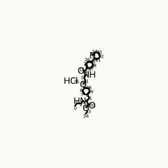 CCCNC(Cc1ccc(OCCNC(=O)c2ccc(-c3ccccn3)cc2)cc1)C(=O)OCC.Cl